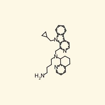 NCCCCN(Cc1nccc2c3ccccc3n(CC3CC3)c12)C1CCCc2cccnc21